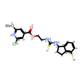 COc1cc(C(=O)OCCNC(=S)NC2CCc3c(F)cccc32)cc(Cl)n1